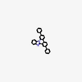 c1ccc(-c2ccc3c4ccc(-c5ccccc5)cc4n4c5ccccc5nc4c3c2)cc1